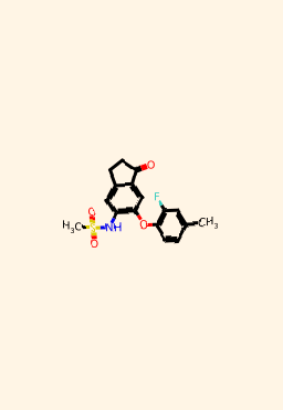 Cc1ccc(Oc2cc3c(cc2NS(C)(=O)=O)CCC3=O)c(F)c1